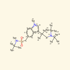 [2H]N(C([2H])([2H])[2H])S(=O)(=O)Cc1ccc2c(c1)c(C([2H])([2H])CN(C([2H])([2H])[2H])C([2H])([2H])[2H])cn2[2H]